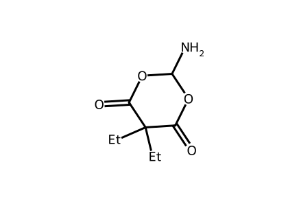 CCC1(CC)C(=O)OC(N)OC1=O